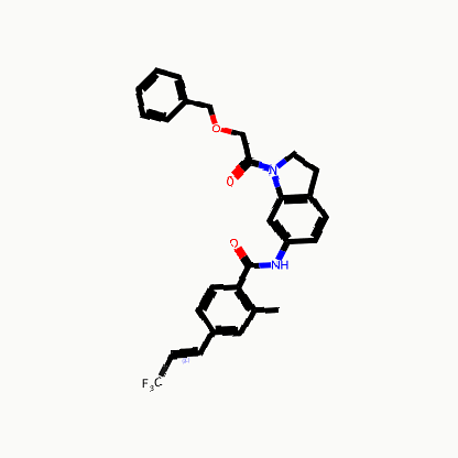 Cc1cc(/C=C/C(F)(F)F)ccc1C(=O)Nc1ccc2c(c1)N(C(=O)COCc1ccccc1)CC2